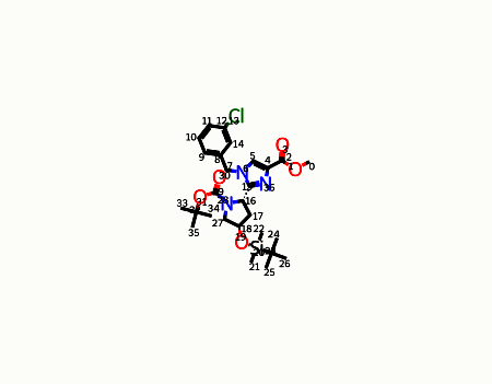 COC(=O)c1cn(Cc2cccc(Cl)c2)c([C@@H]2C[C@@H](O[Si](C)(C)C(C)(C)C)CN2C(=O)OC(C)(C)C)n1